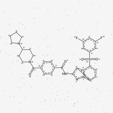 O=C(Nc1nn2c3ccc(S(=O)(=O)c4cc(F)cc(F)c4)c2c13)c1ccc(C(=O)N2CCC(N3CCCC3)CC2)cc1